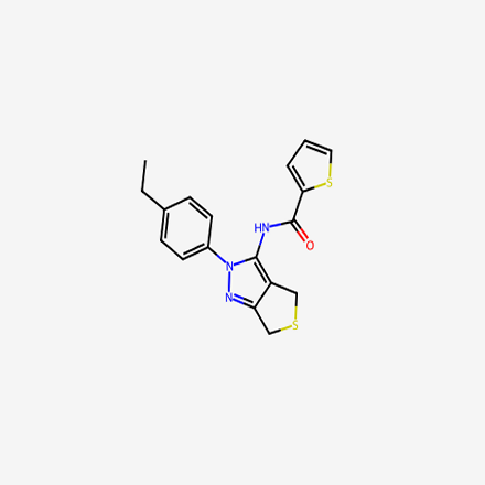 CCc1ccc(-n2nc3c(c2NC(=O)c2cccs2)CSC3)cc1